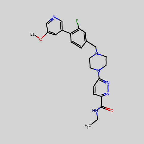 CCOc1cncc(-c2ccc(CN3CCN(c4ccc(C(=O)NCC(F)(F)F)nn4)CC3)cc2F)c1